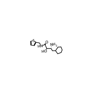 N[C@H](CC1CCCCC1)C(O)C(=O)NCc1cccs1